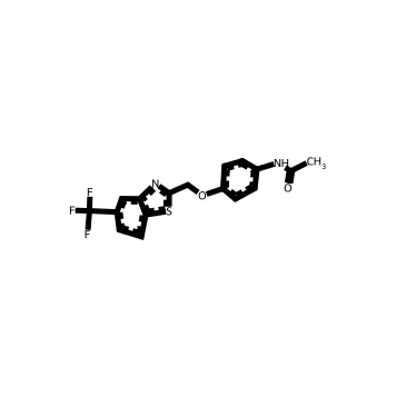 CC(=O)Nc1ccc(OCc2nc3cc(C(F)(F)F)ccc3s2)cc1